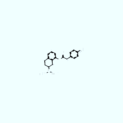 CCCN(CCC)C1CCc2cccc(SC(=O)Cc3ccc(Cl)cc3)c2C1